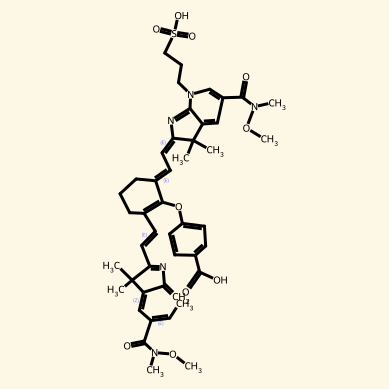 C=C1N=C(/C=C/C2=C(Oc3ccc(C(=O)O)cc3)C(=C/C=C3/N=C4C(=CC(C(=O)N(C)OC)=CN4CCCS(=O)(=O)O)C3(C)C)/CCC2)C(C)(C)/C1=C/C(=C\C)C(=O)N(C)OC